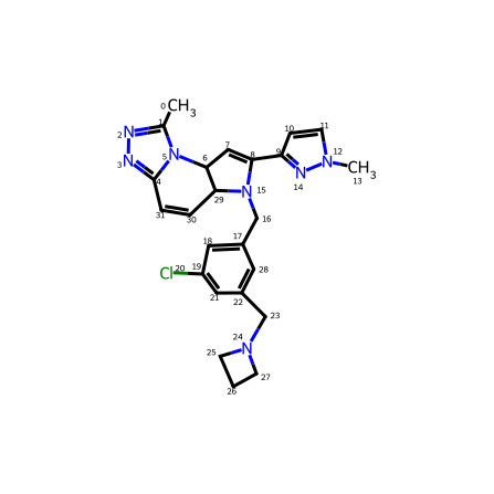 Cc1nnc2n1C1C=C(c3ccn(C)n3)N(Cc3cc(Cl)cc(CN4CCC4)c3)C1C=C2